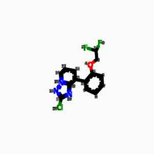 FC(F)COc1ccccc1-c1cccn2nc(Cl)nc12